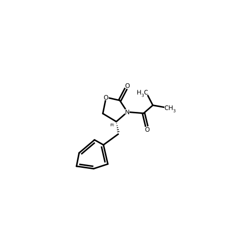 CC(C)C(=O)N1C(=O)OC[C@H]1Cc1ccccc1